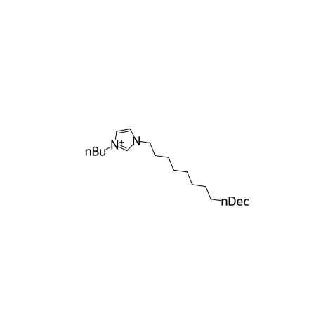 CCCCCCCCCCCCCCCCCCn1cc[n+](CCCC)c1